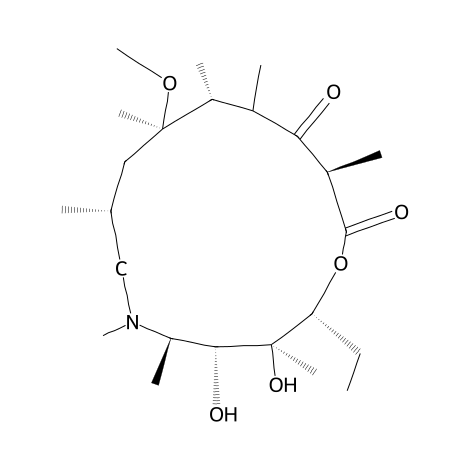 CC[C@H]1OC(=O)[C@H](C)C(=O)C(C)[C@@H](C)[C@](C)(OC)C[C@@H](C)CN(C)[C@H](C)[C@@H](O)[C@]1(C)O